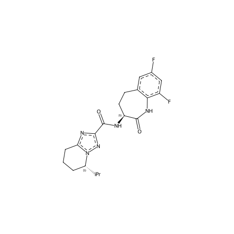 CC(C)[C@@H]1CCCc2nc(C(=O)N[C@H]3CCc4cc(F)cc(F)c4NC3=O)nn21